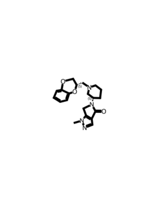 Cn1ncc2c1CN([C@H]1CCCN(C[C@H]3COc4ccccc4O3)C1)C2=O